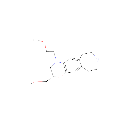 COCCN1C[C@H](COC)Oc2cc3c(cc21)CCNCC3